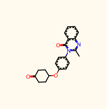 Cc1nc2ccccc2c(=O)n1-c1ccc(OC2CCC(=O)CC2)cc1